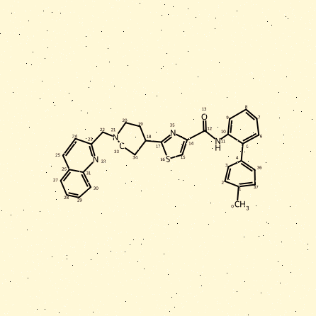 Cc1ccc(-c2ccccc2NC(=O)c2csc(C3CCN(Cc4ccc5ccccc5n4)CC3)n2)cc1